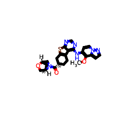 COc1c(Nc2ncnc3sc4c(c23)CC[C@H](C(=O)N2C[C@H]3C[C@@H]2CO3)C4)ccn2nccc12